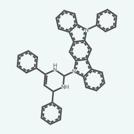 C1=C(c2ccccc2)NC(n2c3ccccc3c3cc4c(cc32)c2ccccc2n4-c2ccccc2)NC1c1ccccc1